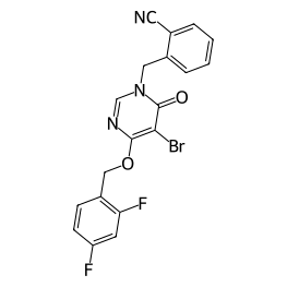 N#Cc1ccccc1Cn1cnc(OCc2ccc(F)cc2F)c(Br)c1=O